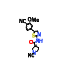 COc1cc(-c2cnc(NC(=O)[C@H]3CCN(C#N)C3)s2)ccc1C#N